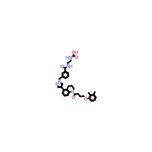 Cc1cccc(OCCCC(=O)N2CCCc3c(-c4cnn(Cc5cccc(C(=O)NCCNC(=O)O)c5)c4)cccc32)c1C